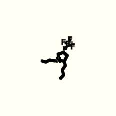 CCCCC1CCCN1CCCC.F[B-](F)(F)F